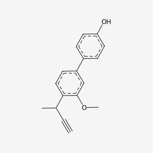 C#CC(C)c1ccc(-c2ccc(O)cc2)cc1OC